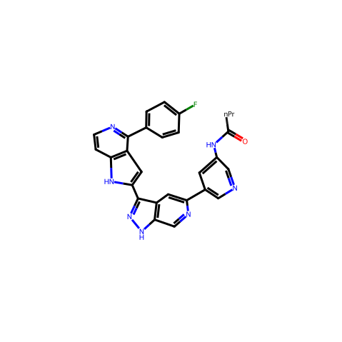 CCCC(=O)Nc1cncc(-c2cc3c(-c4cc5c(-c6ccc(F)cc6)nccc5[nH]4)n[nH]c3cn2)c1